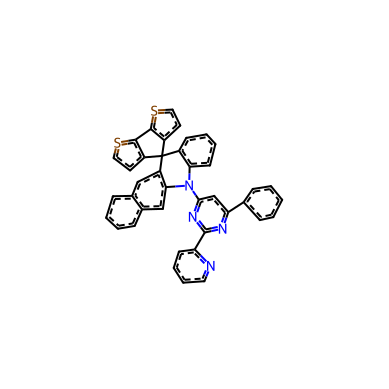 c1ccc(-c2cc(N3c4ccccc4C4(c5cc6ccccc6cc53)c3ccsc3-c3sccc34)nc(-c3ccccn3)n2)cc1